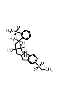 CCS(=O)(=O)c1cc2c(cn1)NC(CC(O)(CC(C)(C)c1ccccc1S(C)(=O)=O)C(F)(F)F)C2